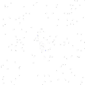 COn1c(=O)c(-c2cc(NC(=O)c3ccc(F)c(C(F)(F)F)c3)ccc2Cl)cc2cnc(NCCN(C)C)nc21